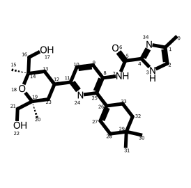 Cc1c[nH]c(C(=O)Nc2ccc(C3C[C@](C)(CO)O[C@](C)(CO)C3)nc2C2=CCC(C)(C)CC2)n1